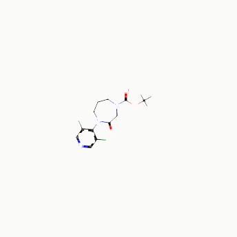 CC(C)(C)OC(=O)N1CCCN(c2c(Cl)cncc2Cl)C(=O)C1